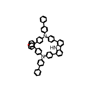 c1ccc(-c2ccc(N(c3ccc(-c4ccccc4)cc3)c3ccc(-c4cccc5c4[nH]c4c(-c6ccc(N(c7ccc(-c8ccccc8)cc7)c7ccc(-c8ccccc8)cc7)cc6)cccc45)cc3)cc2)cc1